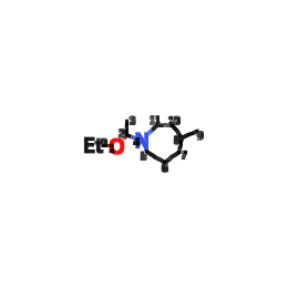 CCOC(C)N1CCCC(C)CC1